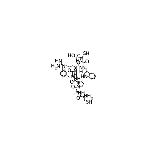 C[C@@H](NC(=O)[C@@H](N)CS)C(=O)N1CCC[C@@H]1C(=O)N[C@H](Cc1ccccc1)C(=O)N[C@@H](CCCNC(=N)N)C(=O)N[C@@H](Cc1c[nH]c2ccccc12)C(=O)N[C@@H](CS)C(=O)O